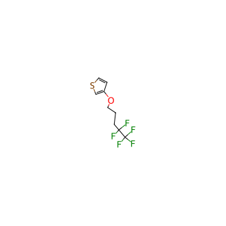 FC(F)(F)C(F)(F)CCCOc1ccsc1